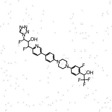 OC(C(F)c1ccc(-c2ccc(N3CCN(c4ccc(C(O)C(F)(F)F)c(F)c4)CC3)cc2)cn1)C(F)n1cnnn1